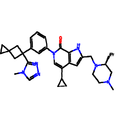 CC(C)[C@H]1CN(C)CCN1Cc1cc2c(C3CC3)cn(-c3cccc(C4(c5nncn5C)CC5(CC5)C4)c3)c(=O)c2[nH]1